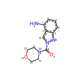 Nc1cccc2nn(C(=O)N3CCOCC3)cc12